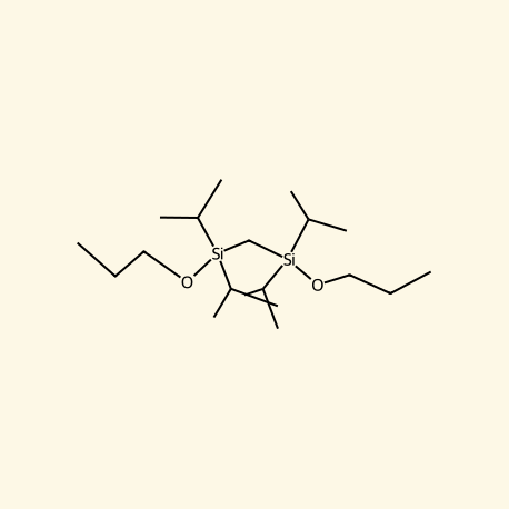 CCCO[Si](C[Si](OCCC)(C(C)C)C(C)C)(C(C)C)C(C)C